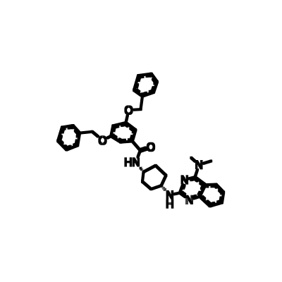 CN(C)c1nc(N[C@H]2CC[C@@H](NC(=O)c3cc(OCc4ccccc4)cc(OCc4ccccc4)c3)CC2)nc2ccccc12